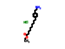 CCOC(=O)CCCCCCCCCc1ccc(CCN)cc1.Cl